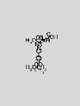 CC(C)c1nc(N2CCC(C3CCN(C(=O)OC(C)(C)C)CC3)CC2)sc1C(=O)NCCC(=O)O